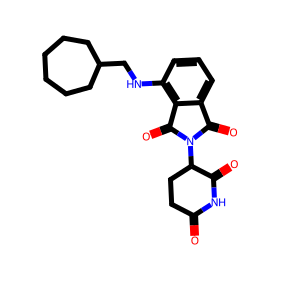 O=C1CCC(N2C(=O)c3cccc(NCC4CCCCCC4)c3C2=O)C(=O)N1